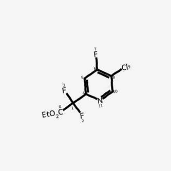 CCOC(=O)C(F)(F)c1cc(F)c(Cl)cn1